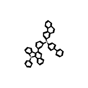 c1ccc(-c2ccc(N(c3cccc(-c4cc5ccccc5c5c4c4ccccc4n5-c4ccccc4)c3)c3ccc4c(ccc5ccccc54)c3)cc2)cc1